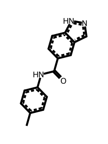 Cc1ccc(NC(=O)c2ccc3[nH]ncc3c2)cc1